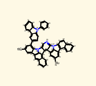 CC(C)(C)c1cc(-c2ccc3c(c2)c2ccccc2n3-c2ccccc2)c2c(c1)c1cc3ccccc3c3c4c5c6cc(C(C)(C)C)cc7c8c9ccccc9ccc8n(c5ncc4n2c13)c76